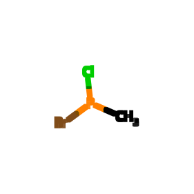 CP(Cl)Br